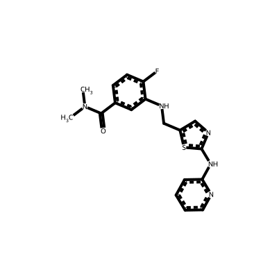 CN(C)C(=O)c1ccc(F)c(NCc2cnc(Nc3ccccn3)s2)c1